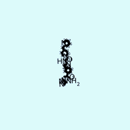 NC(=O)C(Cn1ccnn1)c1ccc2nc(NC(=O)N3CCC(=Cc4ccccn4)CC3)sc2c1